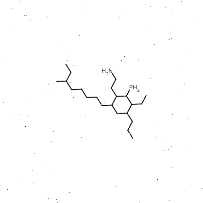 CCCC1CC(CCCCCC(C)CC)C(CCN)C(P)C1CC